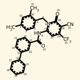 Cc1ccc(Cn2c(NC(=O)c3cccc(-c4ccccc4)c3)cc(C(F)(F)F)c(C#N)c2=O)c(C)c1